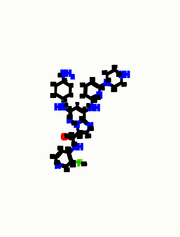 N[C@H]1CC[C@H](Nc2cc(Nc3cccc(N4CCNCC4)n3)c3ncc(C(=O)Nc4ccncc4F)n3n2)CC1